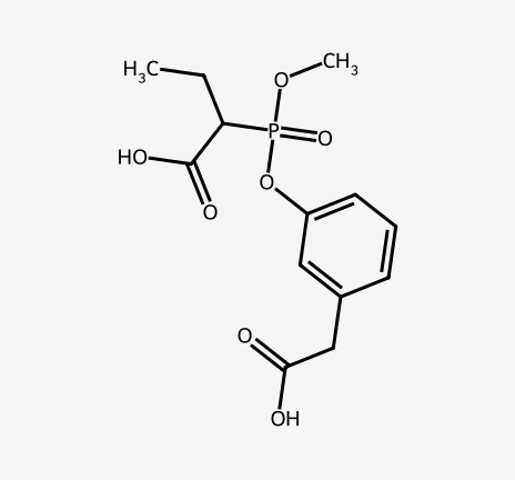 CCC(C(=O)O)P(=O)(OC)Oc1cccc(CC(=O)O)c1